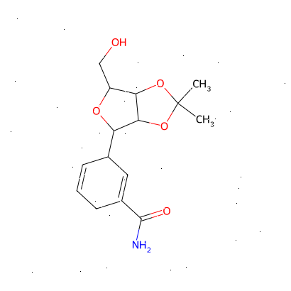 CC1(C)OC2C(CO)OC(C3C=CCC(C(N)=O)=C3)C2O1